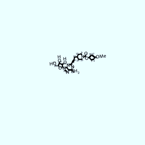 COc1ccc(OC(=O)N2CCC(CC#Cc3nc(N)c4ncn([C@@H]5O[C@H](CO)C(O)C5O)c4n3)CC2)cc1